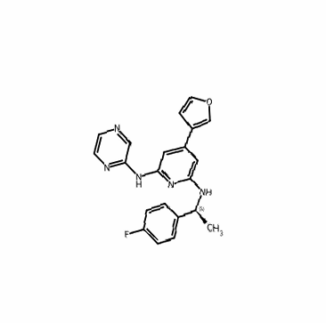 C[C@H](Nc1cc(-c2ccoc2)cc(Nc2cnccn2)n1)c1ccc(F)cc1